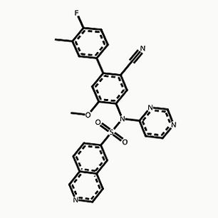 COc1cc(-c2ccc(F)c(C)c2)c(C#N)cc1N(c1ccncn1)S(=O)(=O)c1ccc2cnccc2c1